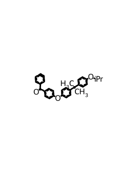 CC(C)Oc1ccc(C(C)(C)c2ccc(Oc3ccc(C(=O)c4cc#ccc4)cc3)cc2)cc1